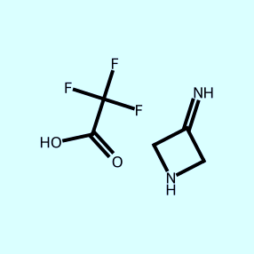 N=C1CNC1.O=C(O)C(F)(F)F